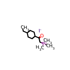 CCC1CCC(C(=O)C[P+](C)(C)C)CC1.[I-]